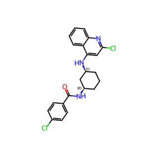 O=C(N[C@@H]1CCC[C@H](Nc2cc(Cl)nc3ccccc23)C1)c1ccc(Cl)cc1